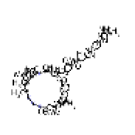 CO[C@H]1C[C@@H]2CC[C@@H](C)[C@@](O)(O2)C(=O)C(=O)N2CCCC[C@H]2C(=O)O[C@H]([C@H](N)C[C@@H]2CC[C@@H](OC(=O)NCc3cnc(N4CCN(c5ncc(C)c(N)n5)CC4)nc3)[C@H](OC)C2)CC(=O)[C@H](C)/C=C(\C)[C@@H](O)[C@@H](OC)C(=O)[C@H](C)C[C@H](C)/C=C/C=C/C=C/1C